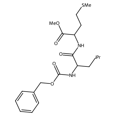 COC(=O)C(CCSC)NC(=O)C(CC(C)C)NC(=O)OCc1ccccc1